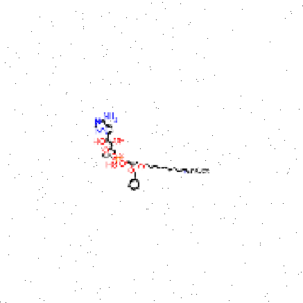 CCCCCCCC/C=C/CCCCCCCCOC[C@H](COP(=O)(O)OC[C@@H](OC#N)[C@@H](O)[C@@H](O)c1ccc2c(N)ncnn12)OCc1ccccc1